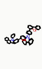 c1ccc(-c2ccccc2N(c2ccc(-c3ccc4c5ccc6ccccc6c5n(-c5ccccc5)c4c3)cc2)c2ccc(-c3cccc4c3oc3ccccc34)cc2)cc1